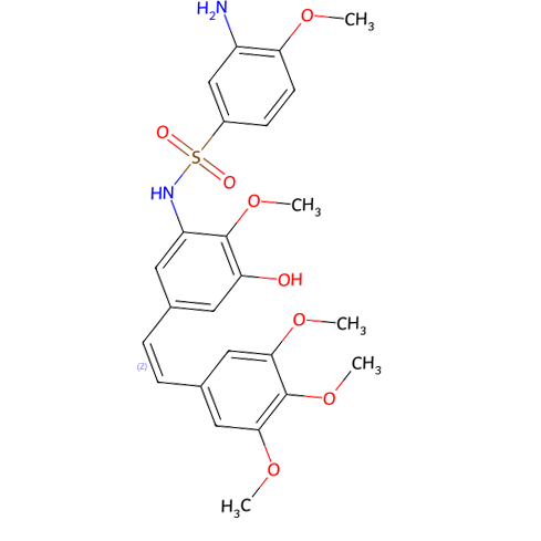 COc1ccc(S(=O)(=O)Nc2cc(/C=C\c3cc(OC)c(OC)c(OC)c3)cc(O)c2OC)cc1N